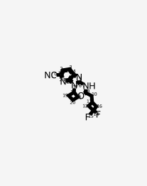 N#Cc1ccc2nc(NC(=O)CC3CC(F)(F)C3)n(C3CCC3)c2n1